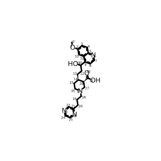 COc1ccc2nccc(C(O)CC[C@@H]3CCN(CCCc4cnccn4)C[C@@H]3C(=O)O)c2c1